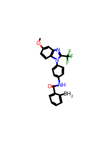 Bc1ccccc1C(=O)Nc1ccc(-n2c(C(F)(F)F)nc3cc(OC)ccc32)cc1